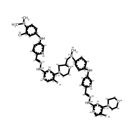 CN(C)c1ccc(Nc2ccc(/C=N/Nc3ncc(F)c(N4CCOC(CN(C)c5ccc(Nc6ccc(/C=N/Nc7ncc(F)c(N8CCOCC8)n7)nc6)cc5)C4)n3)nc2)cc1Cl